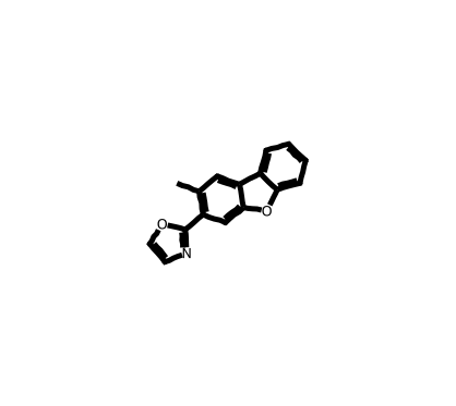 Cc1cc2c(cc1-c1ncco1)oc1ccccc12